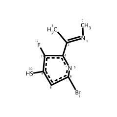 C/N=C(\C)c1nc(Br)cc(S)c1F